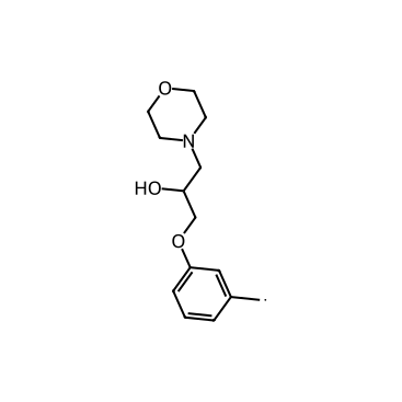 [CH2]c1cccc(OCC(O)CN2CCOCC2)c1